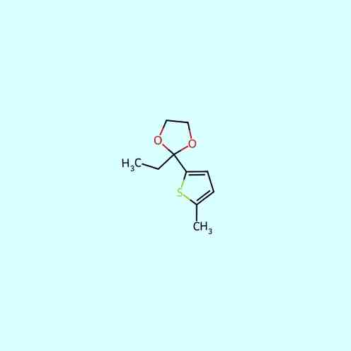 CCC1(c2ccc(C)s2)OCCO1